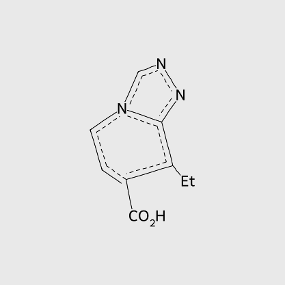 CCc1c(C(=O)O)ccn2cnnc12